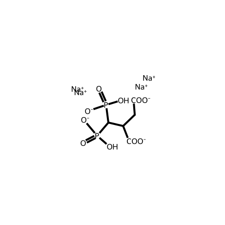 O=C([O-])CC(C(=O)[O-])C(P(=O)([O-])O)P(=O)([O-])O.[Na+].[Na+].[Na+].[Na+]